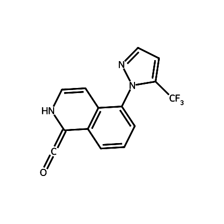 O=C=C1NC=Cc2c1cccc2-n1nccc1C(F)(F)F